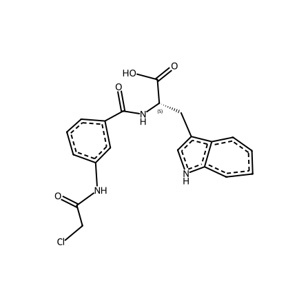 O=C(CCl)Nc1cccc(C(=O)N[C@@H](Cc2c[nH]c3ccccc23)C(=O)O)c1